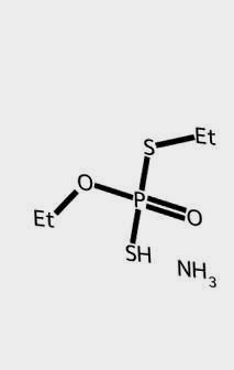 CCOP(=O)(S)SCC.N